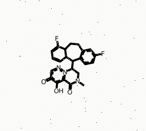 CN1CC(C2c3ccc(F)cc3CCC3C(F)=CC=CC32)n2ncc(=O)c(O)c2C1=O